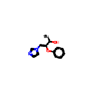 CC(C)(C)C(O)/C(=C/n1ccnc1)Oc1ccccc1